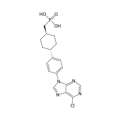 O=P(O)(O)C[C@H]1CC[C@H](c2ccc(-n3cnc4c(Cl)ncnc43)cc2)CC1